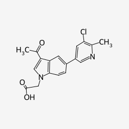 CC(=O)c1cn(CC(=O)O)c2ccc(-c3cnc(C)c(Cl)c3)cc12